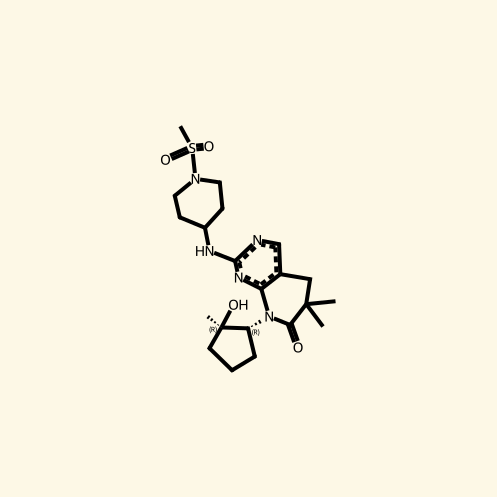 CC1(C)Cc2cnc(NC3CCN(S(C)(=O)=O)CC3)nc2N([C@@H]2CCC[C@@]2(C)O)C1=O